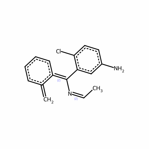 C=c1cccc/c1=C(/N=C\C)c1cc(N)ccc1Cl